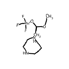 C1CNCCN1.COC(C)O[PH](F)(F)F